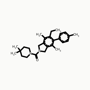 CCc1c(C)c2c(c(C)c1-c1ccc(C)cc1)CN(C(=O)N1CCC(C)(C)CC1)C2